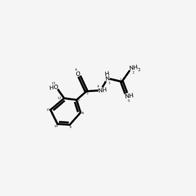 N=C(N)NNC(=O)c1ccccc1O